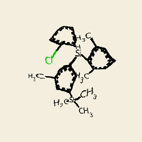 Cc1cc([SiH](c2ccccc2Cl)c2c(C)cccc2C)cc([Si](C)(C)C)c1